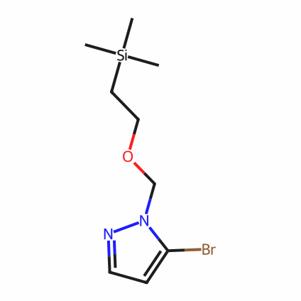 C[Si](C)(C)CCOCn1nccc1Br